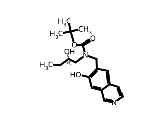 CC[C@H](O)CN(Cc1cc2ccncc2cc1O)C(=O)OC(C)(C)C